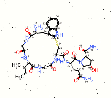 CC[C@H](C)[C@@H]1NC(=O)CNC(=O)C(N)Cc2c([nH]c3ccccc23)SC[C@@H](C(=O)N[C@@H](CCC(N)=O)C(=O)N2C[C@H](O)C[C@H]2C(N)=O)NC(=O)CNC1=O